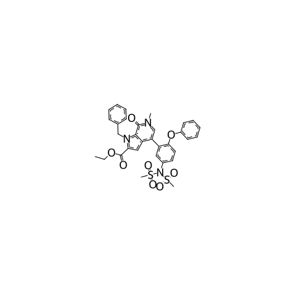 CCOC(=O)c1cc2c(-c3cc(N(S(C)(=O)=O)S(C)(=O)=O)ccc3Oc3ccccc3)cn(C)c(=O)c2n1Cc1ccccc1